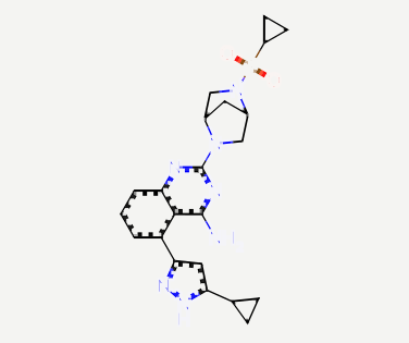 Nc1nc(N2CC3CC2CN3S(=O)(=O)C2CC2)nc2cccc(-c3cc(C4CC4)[nH]n3)c12